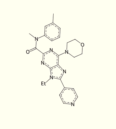 CCn1c(-c2ccncc2)nc2c(N3CCOCC3)nc(C(=O)N(C)c3cccc(C)c3)nc21